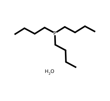 CCCCP(CCCC)CCCC.O